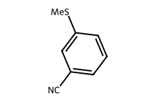 CSc1cccc(C#N)c1